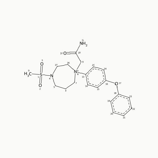 CS(=O)(=O)N1CCC[N+](CC(N)=O)(c2ccc(Oc3ccccc3)cc2)CC1